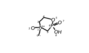 [CH2][N+]1([O-])CCOP(=O)(O)C1